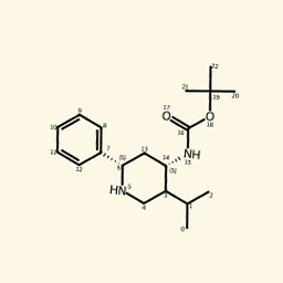 CC(C)C1CN[C@H](c2ccccc2)C[C@@H]1NC(=O)OC(C)(C)C